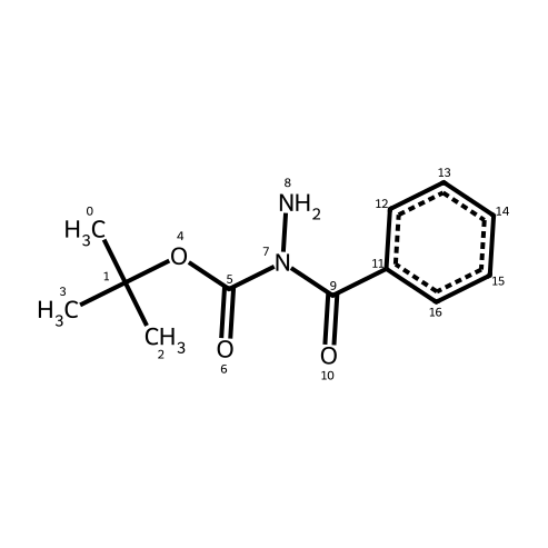 CC(C)(C)OC(=O)N(N)C(=O)c1ccccc1